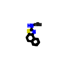 CCCCNc1nc2c(s1)CCc1ccccc1-2